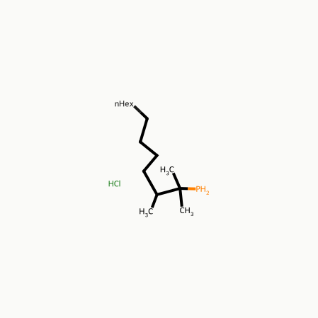 CCCCCCCCCCC(C)C(C)(C)P.Cl